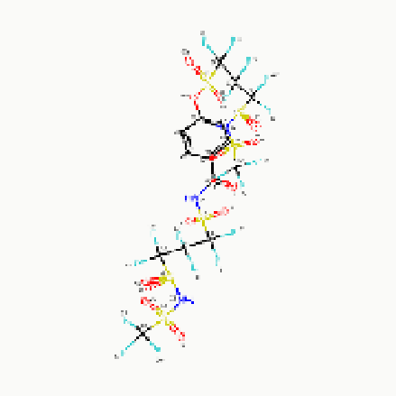 O=C(NS(=O)(=O)C(F)(F)C(F)(F)C(F)(F)S(=O)(=O)NS(=O)(=O)C(F)(F)F)c1ccc(OS(=O)(=O)C(F)(F)C(F)(F)C(F)(F)S(=O)(=O)NS(=O)(=O)C(F)(F)F)cc1